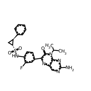 CC(C)n1c(=O)c(-c2ccc(NS(=O)(=O)[C@@H]3C[C@H]3c3ccccc3)c(F)c2)nc2cnc(N)nc21